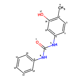 Cc1ccc(NC(=O)Nc2ccccc2)cc1O